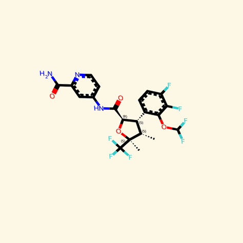 C[C@H]1[C@@H](c2ccc(F)c(F)c2OC(F)F)[C@H](C(=O)Nc2ccnc(C(N)=O)c2)O[C@]1(C)C(F)(F)F